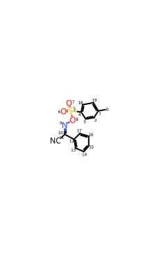 Cc1ccc(S(=O)(=O)ON=C(C#N)c2ccccc2)cc1